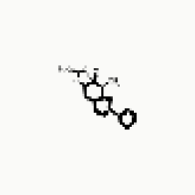 CC(C)NC1Cc2ccc(-c3ccccc3)cc2[C@H](C)C1=O